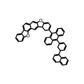 C1=CC(c2cccc3ccccc23)CC(c2c3ccccc3c(C3=CC=C4Oc5cc6ccc7c8ccccc8oc7c6cc5C4C3)c3ccccc23)=C1